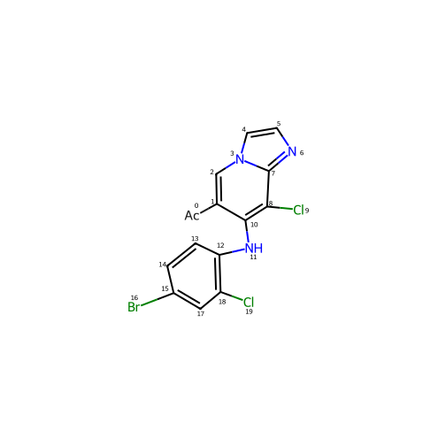 CC(=O)c1cn2ccnc2c(Cl)c1Nc1ccc(Br)cc1Cl